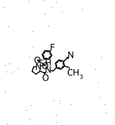 CCc1cc(CNC(=O)C2CCCN2S(=O)(=O)c2ccc(F)cc2)ccc1C#N